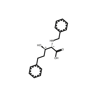 O=C(O)[C@@H](NCc1ccccc1)[C@H](O)CCc1ccccc1